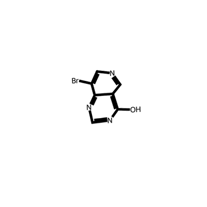 Oc1ncnc2c(Br)cncc12